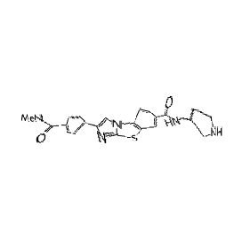 CNC(=O)c1ccc(-c2cn3c(n2)sc2cc(C(=O)NC4CCNC4)ccc23)cc1